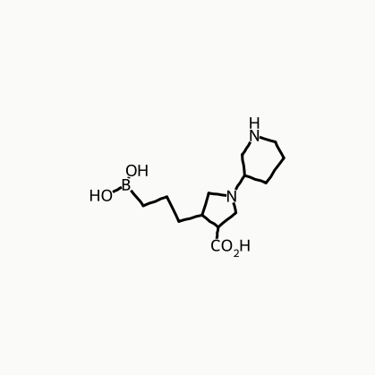 O=C(O)C1CN(C2CCCNC2)CC1CCCB(O)O